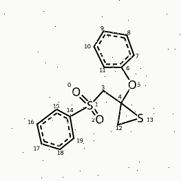 O=S(=O)(CC1(Oc2ccccc2)CS1)c1ccccc1